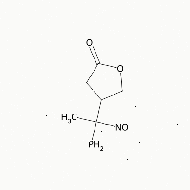 CC(P)(N=O)C1COC(=O)C1